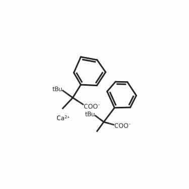 CC(C)(C)C(C)(C(=O)[O-])c1ccccc1.CC(C)(C)C(C)(C(=O)[O-])c1ccccc1.[Ca+2]